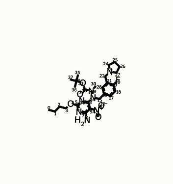 CCCCOc1nc(N)c([N+](=O)[O-])c(N(Cc2ccc(F)c(CN3CCCC3)c2)N(C)C(=O)OC(C)(C)C)n1